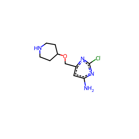 Nc1cc(COC2CCNCC2)nc(Cl)n1